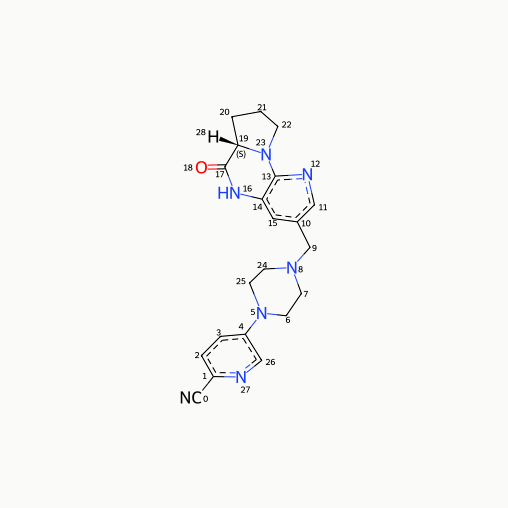 N#Cc1ccc(N2CCN(Cc3cnc4c(c3)NC(=O)[C@@H]3CCCN43)CC2)cn1